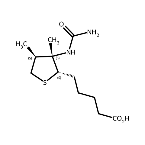 C[C@@H]1CS[C@@H](CCCCC(=O)O)[C@@]1(C)NC(N)=O